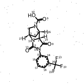 O=C1[C@H]2[C@@H]3C[C@@H](CN3C(=O)O)N2C(=O)N1c1cccc(C(F)(F)F)c1